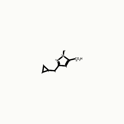 Cn1nc(CC2CC2)cc1C(=O)O